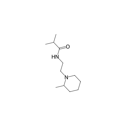 CC(C)C(=O)NCCN1CCCCC1C